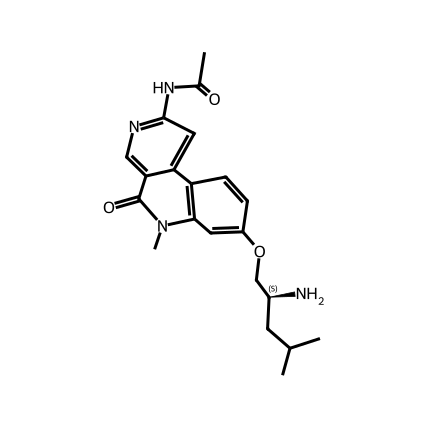 CC(=O)Nc1cc2c(cn1)c(=O)n(C)c1cc(OC[C@@H](N)CC(C)C)ccc21